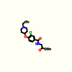 COC(=O)CNC(=O)c1ccc(OC2CCN(CC(C)(C)C)CC2)c(Cl)c1